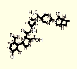 C[C@@H](c1cnc(N2C[C@H]3CC[C@H]3C2=O)nc1)n1cc(NC(=O)c2nc(-c3c(C(F)F)ccc(Cl)c3F)cnc2CO)cn1